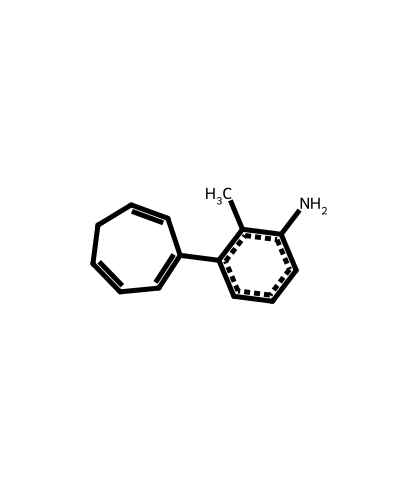 Cc1c(N)cccc1C1=CC=CCC=C1